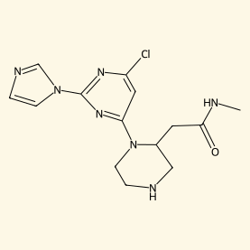 CNC(=O)CC1CNCCN1c1cc(Cl)nc(-n2ccnc2)n1